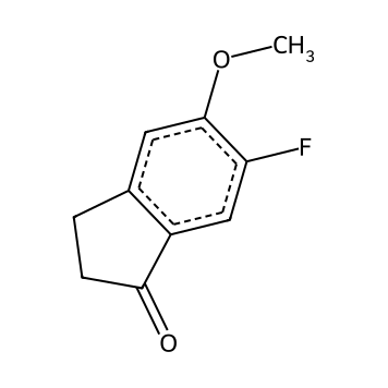 COc1cc2c(cc1F)C(=O)CC2